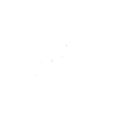 CCC(C)[Si](Cl)(O[Si](C)(C)O[Si](CC)(CC)CC)C(C)CC